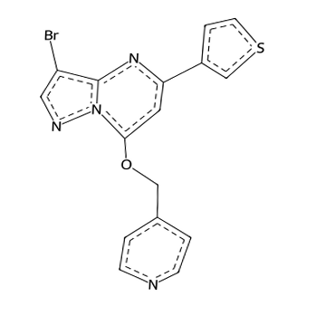 Brc1cnn2c(OCc3ccncc3)cc(-c3ccsc3)nc12